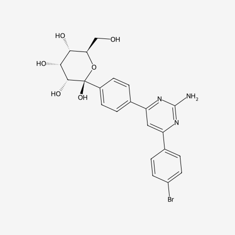 Nc1nc(-c2ccc(Br)cc2)cc(-c2ccc([C@@]3(O)O[C@H](CO)[C@@H](O)[C@@H](O)[C@H]3O)cc2)n1